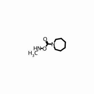 CNOC(=O)N1CCCCCC1